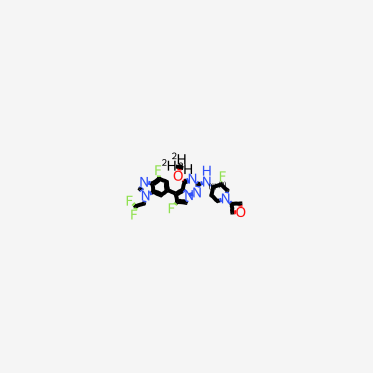 [2H]C([2H])([2H])Oc1nc(N[C@H]2CCN(C3COC3)C[C@H]2F)nn2cc(F)c(-c3cc(F)c4ncn(CC(F)F)c4c3)c12